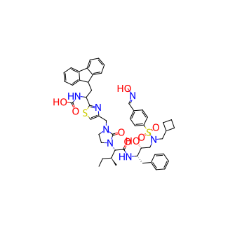 CC[C@H](C)[C@@H](C(=O)N[C@@H](Cc1ccccc1)[C@H](O)CN(CC1CCC1)S(=O)(=O)c1ccc(C=NO)cc1)N1CCN(Cc2csc(C(CC3c4ccccc4-c4ccccc43)NC(=O)O)n2)C1=O